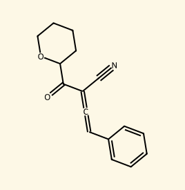 N#CC(=C=Cc1ccccc1)C(=O)C1CCCCO1